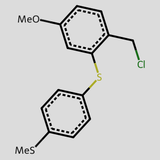 COc1ccc(CCl)c(Sc2ccc(SC)cc2)c1